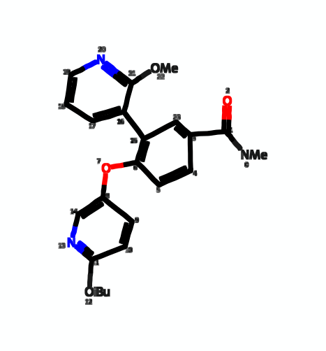 CNC(=O)c1ccc(Oc2ccc(OCC(C)C)nc2)c(-c2cccnc2OC)c1